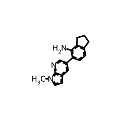 Cn1ccc2cc(-c3ccc4c(c3N)CCC4)cnc21